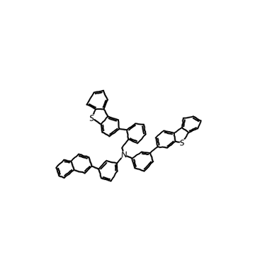 c1cc(-c2ccc3ccccc3c2)cc(N(Cc2ccccc2-c2ccc3sc4ccccc4c3c2)c2cccc(-c3ccc4c(c3)sc3ccccc34)c2)c1